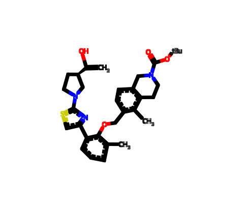 C=C(O)[C@@H]1CCN(c2nc(-c3cccc(C)c3OCc3ccc4c(c3C)CCN(C(=O)OC(C)(C)C)C4)cs2)C1